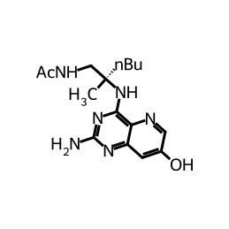 CCCC[C@](C)(CNC(C)=O)Nc1nc(N)nc2cc(O)cnc12